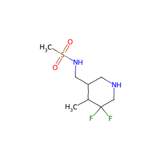 CC1C(CNS(C)(=O)=O)CNCC1(F)F